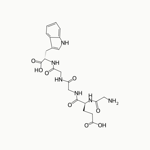 NCC(=O)N[C@@H](CCC(=O)O)C(=O)NCC(=O)NCC(=O)N[C@@H](Cc1c[nH]c2ccccc12)C(=O)O